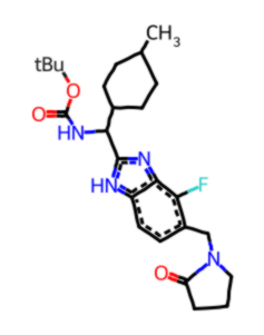 CC1CCC(C(NC(=O)OC(C)(C)C)c2nc3c(F)c(CN4CCCC4=O)ccc3[nH]2)CC1